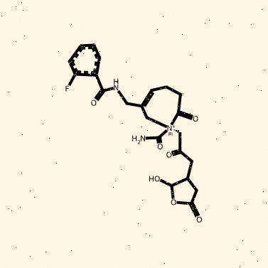 NC(=O)[N@@+]1(CC(=O)CC2CC(=O)OC2O)CC(CNC(=O)c2ccccc2F)=CC[C]C1=O